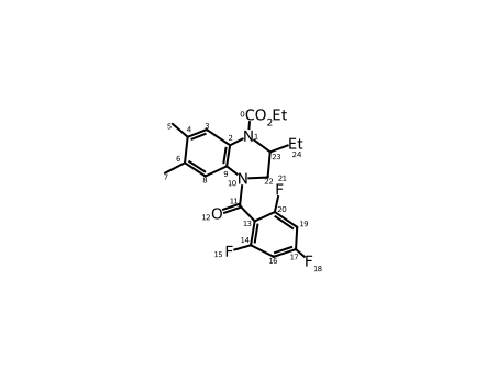 CCOC(=O)N1c2cc(C)c(C)cc2N(C(=O)c2c(F)cc(F)cc2F)CC1CC